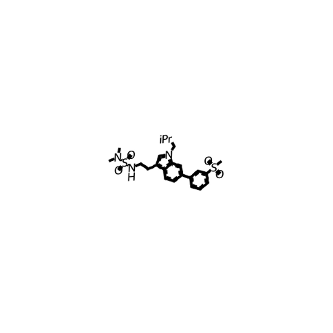 CC(C)Cn1cc(CCNS(=O)(=O)N(C)C)c2ccc(-c3cccc(S(C)(=O)=O)c3)cc21